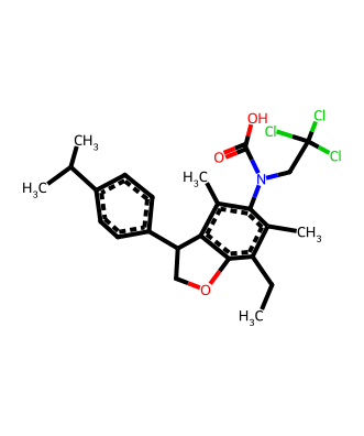 CCc1c(C)c(N(CC(Cl)(Cl)Cl)C(=O)O)c(C)c2c1OCC2c1ccc(C(C)C)cc1